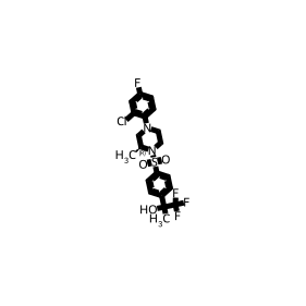 C[C@@H]1CN(c2ccc(F)cc2Cl)CCN1S(=O)(=O)c1ccc(C(C)(O)C(F)(F)F)cc1